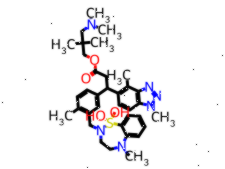 Cc1ccc(C(CC(=O)OCC(C)(C)CN(C)C)c2ccc3c(nnn3C)c2C)cc1CN1CCN(C)c2ccccc2S1(O)O